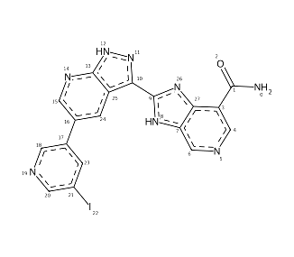 NC(=O)c1cncc2[nH]c(-c3n[nH]c4ncc(-c5cncc(I)c5)cc34)nc12